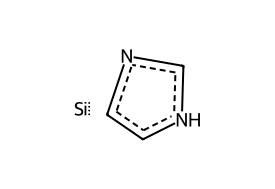 [Si].c1c[nH]cn1